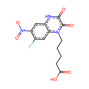 O=C(O)CCCCn1c(=O)c(=O)[nH]c2cc([N+](=O)[O-])c(F)cc21